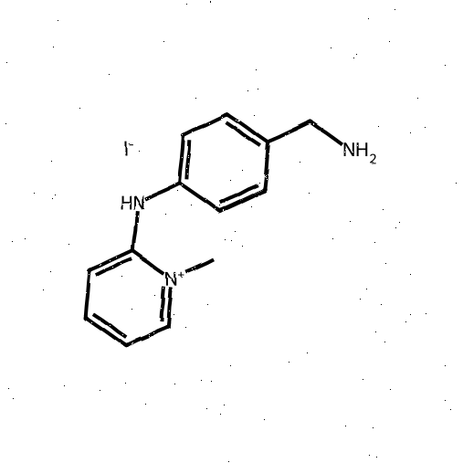 C[n+]1ccccc1Nc1ccc(CN)cc1.[I-]